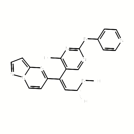 CN[C@H](C)/C=C(/c1ccn2nccc2n1)c1cnc(Nc2ccncc2)nc1C